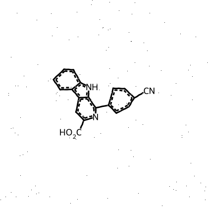 N#Cc1ccc(-c2nc(C(=O)O)cc3c2[nH]c2ccccc23)cc1